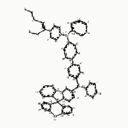 CCC/C=C(\CC)c1ccc(N(c2ccccc2)c2ccc(-c3ccc(N(c4ccccc4)c4ccc5c(c4)-c4ccccc4C54c5ccccc5Oc5ccccc54)cc3)cc2)cc1